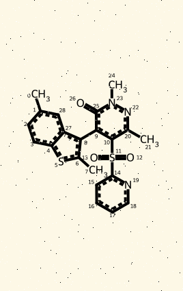 Cc1ccc2sc(C)c(-c3c(S(=O)(=O)c4ccccn4)c(C)nn(C)c3=O)c2c1